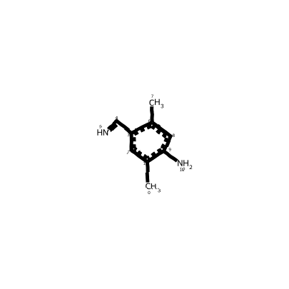 Cc1cc(C=N)c(C)cc1N